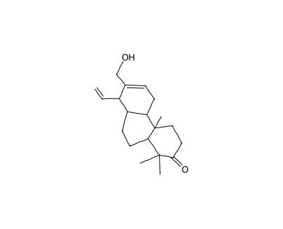 C=CC1C(CO)=CCC2C1CCC1C(C)(C)C(=O)CCC21C